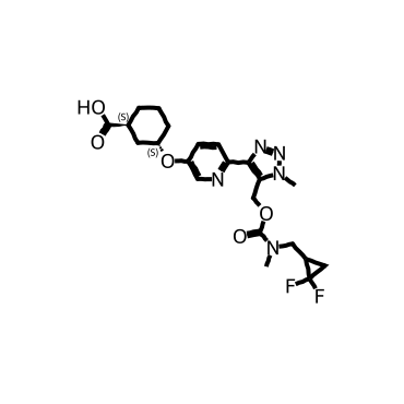 CN(CC1CC1(F)F)C(=O)OCc1c(-c2ccc(O[C@H]3CCC[C@H](C(=O)O)C3)cn2)nnn1C